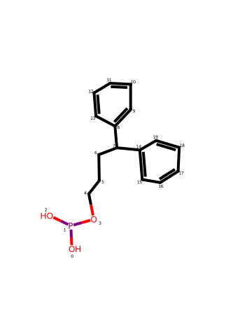 OP(O)OCCCC(c1ccccc1)c1ccccc1